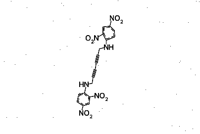 O=[N+]([O-])c1ccc(NCC#CC#CCNc2ccc([N+](=O)[O-])cc2[N+](=O)[O-])c([N+](=O)[O-])c1